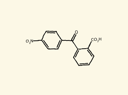 O=C(O)c1ccccc1C(=O)c1ccc([N+](=O)[O-])cc1